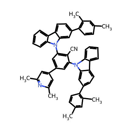 Cc1ccc(-c2ccc3c4ccccc4n(-c4cc(-c5cc(C)nc(C)c5)cc(-n5c6ccccc6c6ccc(-c7ccc(C)cc7C)cc65)c4C#N)c3c2)c(C)c1